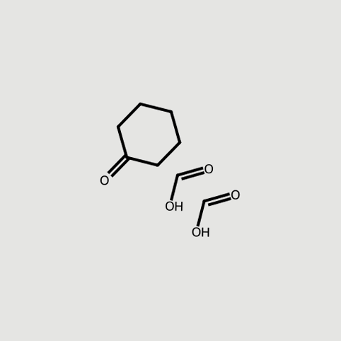 O=C1CCCCC1.O=CO.O=CO